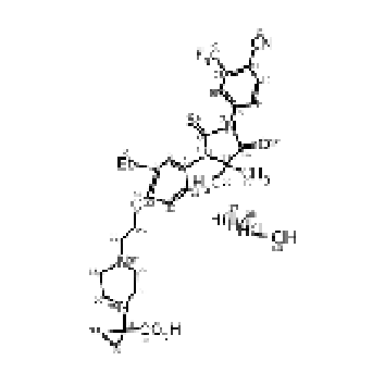 CCc1cc(N2C(=S)N(c3ccc(C#N)c(C(F)(F)F)c3)C(=O)C2(C)C)ccc1OCCN1CCN(C2(C(=O)O)CC2)CC1.Cl.Cl.Cl.Cl